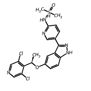 C[C@@H](Oc1ccc2[nH]nc(-c3ccc(N[SH](C)(C)=O)nc3)c2c1)c1c(Cl)cncc1Cl